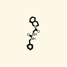 O=C(NCC(=O)N1CCC2CCCC=C2C1)NCc1ccccc1